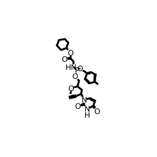 C#CC(CC(COP(NCC(=O)OC1CCCCC1)Oc1ccc(C)cc1)OC)n1ccc(=O)[nH]c1=O